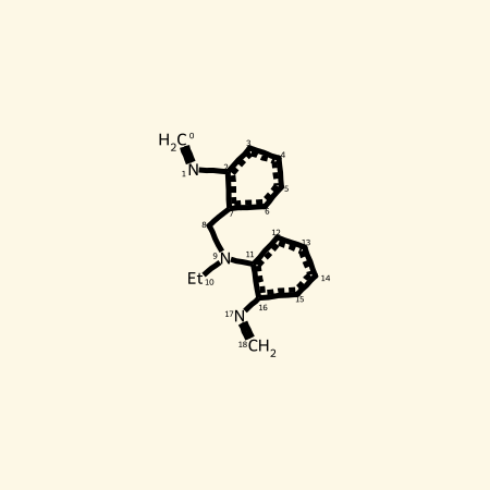 C=Nc1ccccc1CN(CC)c1ccccc1N=C